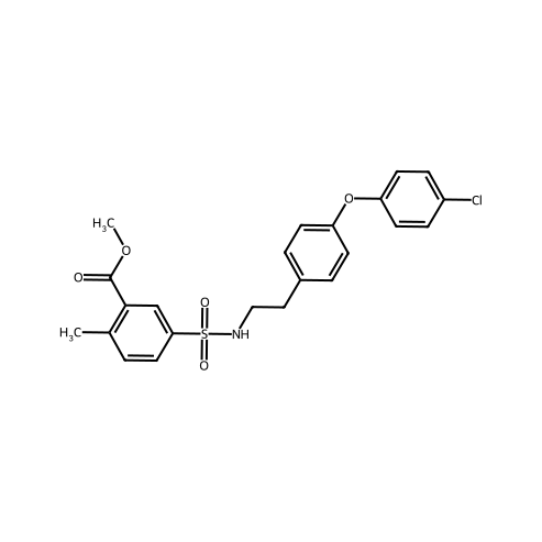 COC(=O)c1cc(S(=O)(=O)NCCc2ccc(Oc3ccc(Cl)cc3)cc2)ccc1C